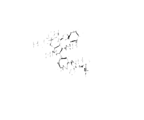 CC1(C)CC(=O)c2c([nH]c(-c3ccnc(NC(=O)[C@@H]4C[C@H]4F)c3)c2Nc2ccccc2)C1